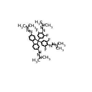 CN(C)N=Nc1ccc2c(c1)C(c1cc(F)c(N=NN(C)C)c(F)c1)(c1cc(F)c(N=NN(C)C)c(F)c1)c1cc(N=NN(C)C)ccc1-2